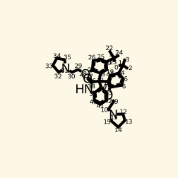 CC(C)(C)c1ccc(OCCN2CCCC2)c(C2(c3cc(C(C)(C)C)ccc3OCCN3CCCC3)C(=O)Nc3ccccc32)c1